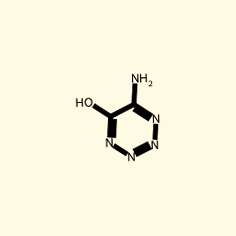 Nc1nnnnc1O